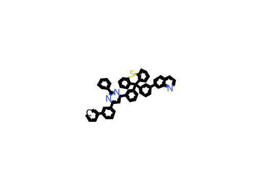 c1ccc(-c2cccc(-c3cc(-c4cccc(C5(c6cccc(-c7ccc8cccnc8c7)c6)c6ccccc6Sc6ccccc65)c4)nc(-c4ccccc4)n3)c2)cc1